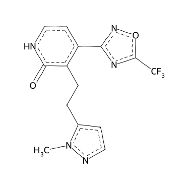 Cn1nccc1CCc1c(-c2noc(C(F)(F)F)n2)cc[nH]c1=O